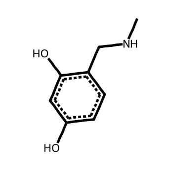 CNCc1ccc(O)cc1O